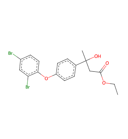 CCOC(=O)CC(C)(O)c1ccc(Oc2ccc(Br)cc2Br)cc1